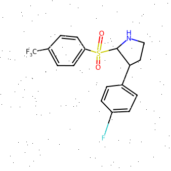 O=S(=O)(c1ccc(C(F)(F)F)cc1)C1NCCC1c1ccc(F)cc1